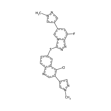 Cn1cc(-c2cc(F)c3nnc(Sc4ccc5ncc(-c6cnn(C)c6)c(Cl)c5c4)n3c2)cn1